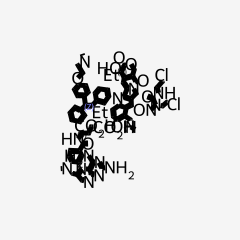 CC/C(=C(\c1ccccc1)c1ccc(OCCN(C)C)cc1)c1ccccc1.CC[C@@]1(O)C(=O)OCc2c1cc1n(c2=O)Cc2cc3c(CN(C)C)c(O)ccc3nc2-1.CN(Cc1cnc2nc(N)nc(N)c2n1)c1ccc(C(=O)N[C@@H](CCC(=O)O)C(=O)O)cc1.O=NN(CCCl)C(=O)NCCCl